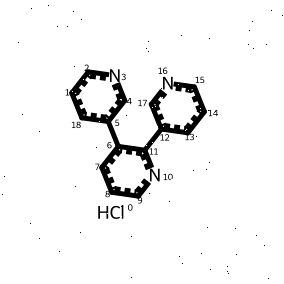 Cl.c1cncc(-c2cccnc2-c2cccnc2)c1